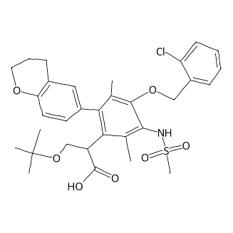 Cc1c(OCc2ccccc2Cl)c(NS(C)(=O)=O)c(C)c(C(COC(C)(C)C)C(=O)O)c1-c1ccc2c(c1)CCCO2